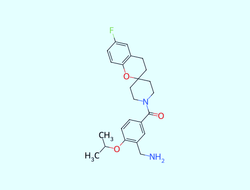 CC(C)Oc1ccc(C(=O)N2CCC3(CCc4cc(F)ccc4O3)CC2)cc1CN